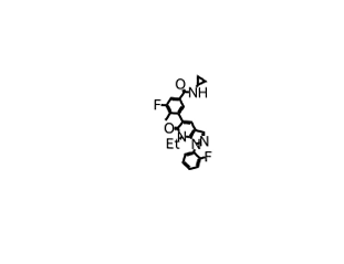 CCn1c(=O)c(-c2cc(C(=O)NC3CC3)cc(F)c2C)cc2cnn(-c3ccccc3F)c21